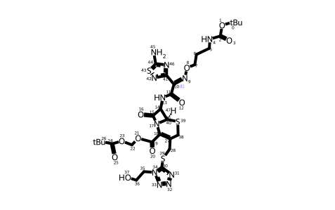 CC(C)(C)OC(=O)NCCCO/N=C(/C(=O)NC1C(=O)N2C(C(=O)OCOC(=O)C(C)(C)C)=C(CSc3nnnn3CCO)CS[C@H]12)c1nsc(N)n1